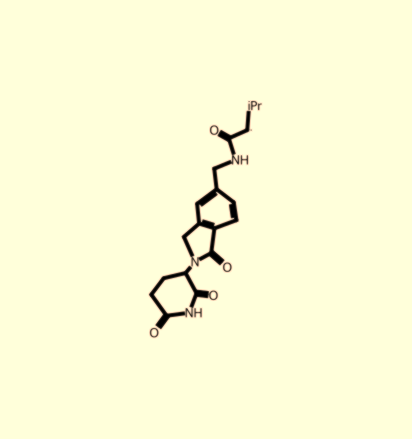 CC(C)[CH]C(=O)NCc1ccc2c(c1)CN(C1CCC(=O)NC1=O)C2=O